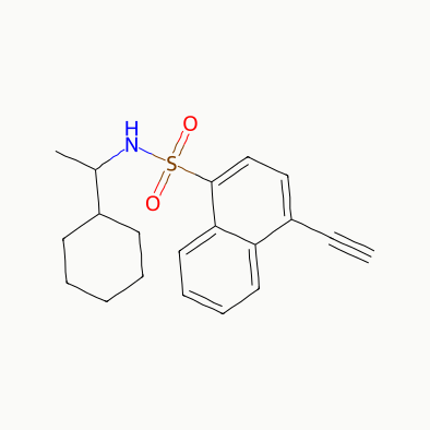 C#Cc1ccc(S(=O)(=O)NC(C)C2CCCCC2)c2ccccc12